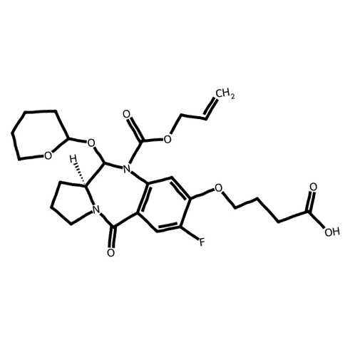 C=CCOC(=O)N1c2cc(OCCCC(=O)O)c(F)cc2C(=O)N2CCC[C@H]2C1OC1CCCCO1